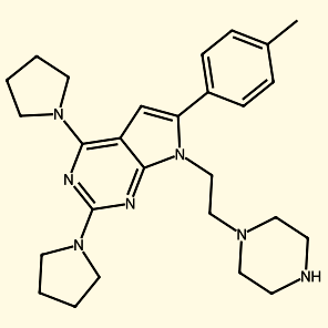 Cc1ccc(-c2cc3c(N4CCCC4)nc(N4CCCC4)nc3n2CCN2CCNCC2)cc1